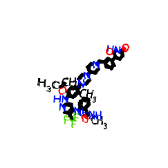 CNC(=O)c1ccccc1Nc1cc(Nc2cc(C)c(N3CCN(C4CCN(Cc5cccc(C6CCC(=O)NC6=O)c5)CC4)CC3)cc2OC(C)C)ncc1C(F)(F)F